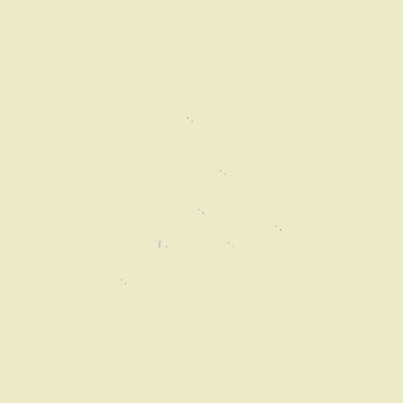 NC(=O)c1ncc(NC2(C(N)=O)CC2)nc1Nc1cnc2ccccc2c1